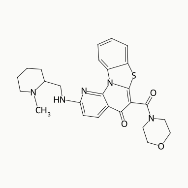 CN1CCCCC1CNc1ccc2c(=O)c(C(=O)N3CCOCC3)c3sc4ccccc4n3c2n1